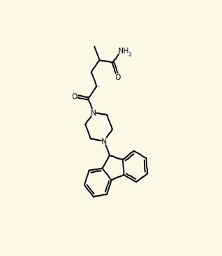 CC(C[CH]C(=O)N1CCN(C2c3ccccc3-c3ccccc32)CC1)C(N)=O